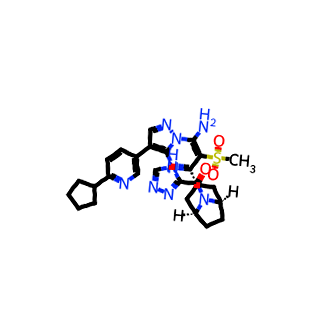 CS(=O)(=O)c1c([C@@H]2C[C@H]3CC[C@@H](C2)N3C(=O)c2nnc[nH]2)nc2c(-c3ccc(C4CCCC4)nc3)cnn2c1N